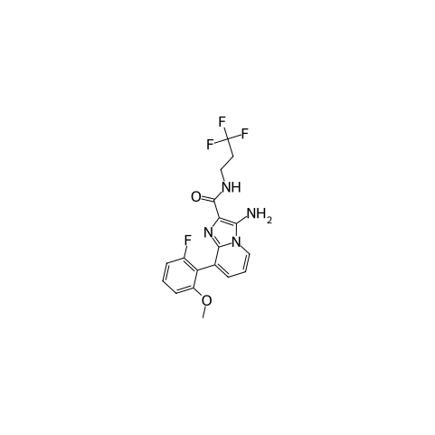 COc1cccc(F)c1-c1cccn2c(N)c(C(=O)NCCC(F)(F)F)nc12